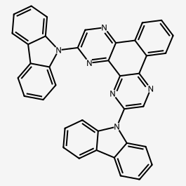 c1ccc2c(c1)c1ncc(-n3c4ccccc4c4ccccc43)nc1c1nc(-n3c4ccccc4c4ccccc43)cnc21